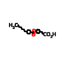 C=CCCCCCC1CCC(C(=O)Oc2ccc(C=CC(=O)O)cc2)CC1